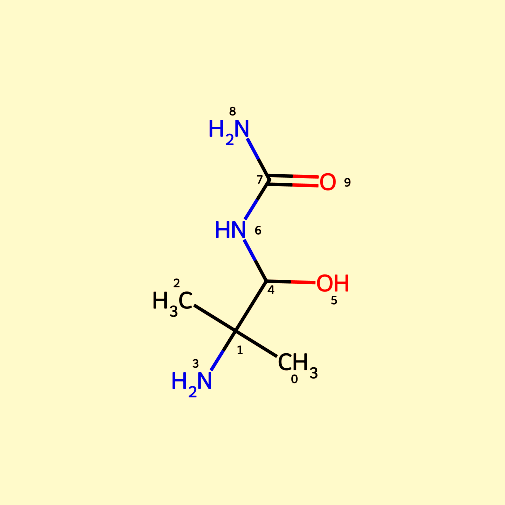 CC(C)(N)C(O)NC(N)=O